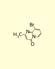 Cc1cc(=O)n2cccc(Br)c2n1